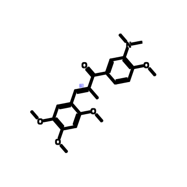 COc1cc(OC)c(OC)cc1/C=C(\C)C(=O)c1ccc(OC)c(N(C)C)c1